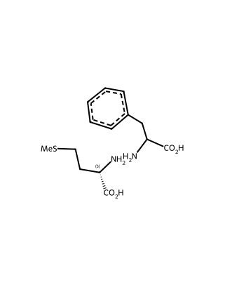 CSCC[C@H](N)C(=O)O.NC(Cc1ccccc1)C(=O)O